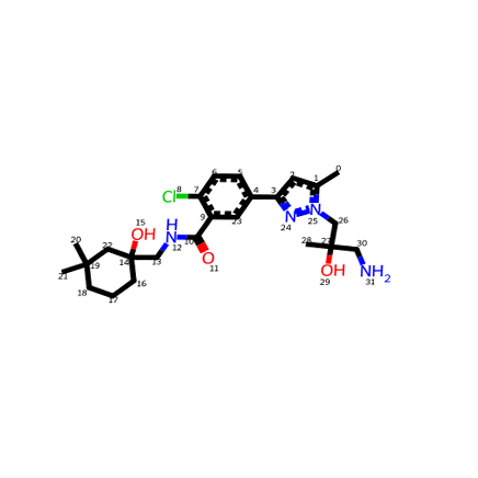 Cc1cc(-c2ccc(Cl)c(C(=O)NCC3(O)CCCC(C)(C)C3)c2)nn1CC(C)(O)CN